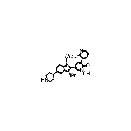 COc1ncccc1-c1cc(-c2[nH]c3ccc(C4CCNCC4)cc3c2C(C)C)cn(C)c1=O